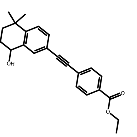 CCOC(=O)c1ccc(C#Cc2ccc3c(c2)C(O)CCC3(C)C)cc1